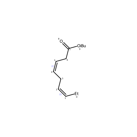 CC/C=C\C/C=C\CC(=O)OCC(C)C